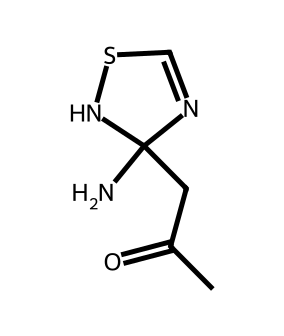 CC(=O)CC1(N)N=CSN1